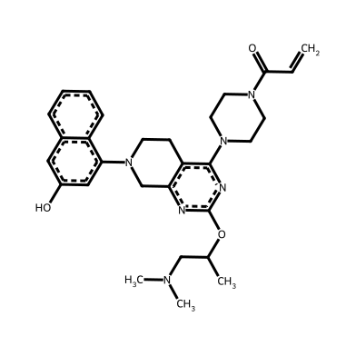 C=CC(=O)N1CCN(c2nc(OC(C)CN(C)C)nc3c2CCN(c2cc(O)cc4ccccc24)C3)CC1